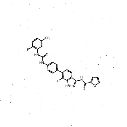 O=C(Nc1ccc(-c2ccc3c(NC(=O)c4ccco4)n[nH]c3c2F)cc1)Nc1cc(C(F)(F)F)ccc1F